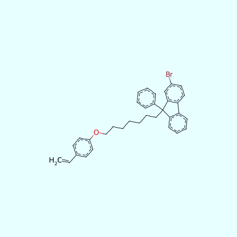 C=Cc1ccc(OCCCCCCCC2(c3ccccc3)c3ccccc3-c3ccc(Br)cc32)cc1